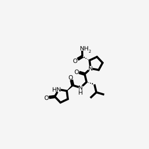 CC(C)C[C@H](NC(=O)[C@H]1CCC(=O)N1)C(=O)N1CCC[C@H]1C(N)=O